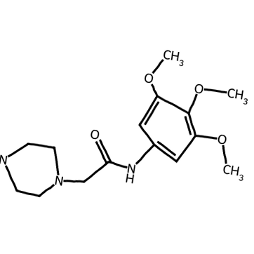 COc1cc(NC(=O)CN2CC[N]CC2)cc(OC)c1OC